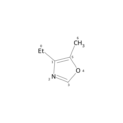 CCc1ncoc1C